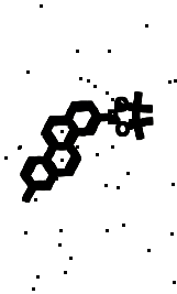 Cc1ccc2c(ccc3c4cc(B5OC(C)(C)C(C)(C)O5)ccc4ccc23)c1